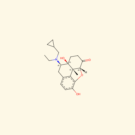 CCN(CC1CC1)[C@@H]1Cc2ccc(O)c3c2[C@@]2(C)[C@@H](O3)C(=O)CC[C@@]12O